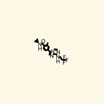 Cc1cc(-c2cnc3c(NCCC(F)(F)F)nccn23)ccc1C(=O)NC1CC1